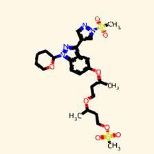 CC(CCOS(C)(=O)=O)OCCC(C)Oc1ccc2c(c1)c(-c1cnn(S(C)(=O)=O)c1)nn2C1CCCCO1